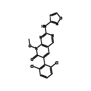 COn1c(=O)c(-c2c(Cl)cccc2Cl)cc2cnc(Nc3ccon3)nc21